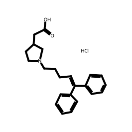 Cl.O=C(O)CC1CCN(CCCC=C(c2ccccc2)c2ccccc2)C1